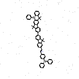 CC1(C)c2cc(/C=C/c3ccc(N(c4ccccc4)c4ccccc4)cc3)ccc2-c2ccc(-c3ccc4c(c3)C(C)(C)c3cc5c(cc3-4)C(C)(C)c3ccccc3N5c3ccccc3)cc21